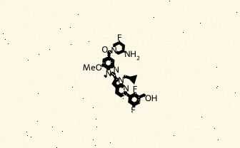 COc1cc(C(=O)N2C[C@H](N)C[C@@H](F)C2)cc2nc(-c3cc4ccc(-c5cc(F)cc(CO)c5F)nc4n3CC3CC3)n(C)c12